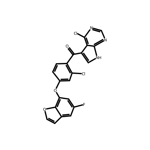 O=C(c1ccc(Oc2cc(F)cc3ccoc23)cc1Cl)c1c[nH]c2ncnc(Cl)c12